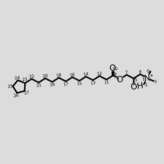 C[N+](C)(C)CC(O)COC(=O)CCCCCCCCCCCCC1CCCC1